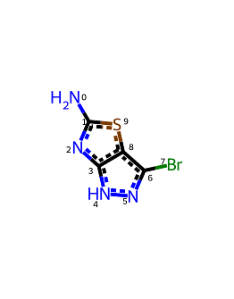 Nc1nc2[nH]nc(Br)c2s1